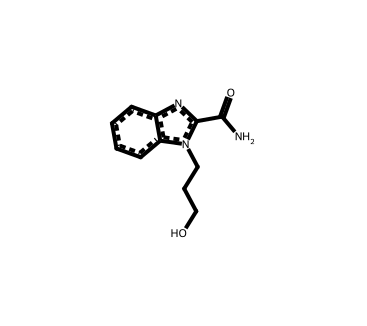 NC(=O)c1nc2ccccc2n1CCCO